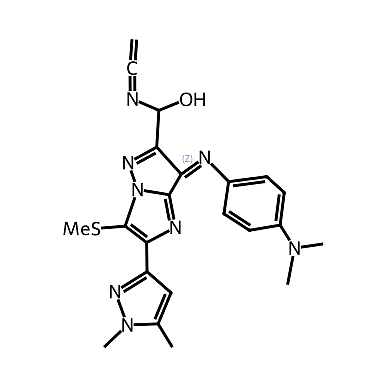 C=C=NC(O)C1=Nn2c(nc(-c3cc(C)n(C)n3)c2SC)/C1=N\c1ccc(N(C)C)cc1